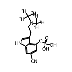 [2H]C([2H])([2H])N(CCc1c[nH]c2cc(C#N)cc(OP(=O)(O)O)c12)C([2H])([2H])[2H]